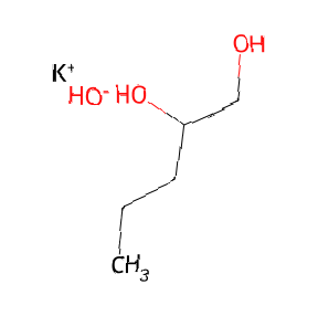 CCCC(O)CO.[K+].[OH-]